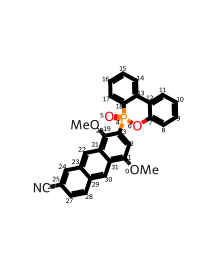 COc1cc(P2(=O)Oc3ccccc3-c3ccccc32)c(OC)c2cc3cc(C#N)ccc3cc12